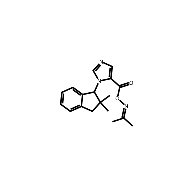 CC(C)=NOC(=O)c1cncn1C1c2ccccc2CC1(C)C